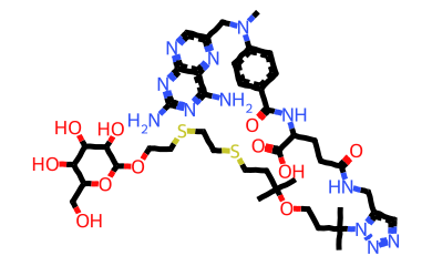 CN(Cc1cnc2nc(N)nc(N)c2n1)c1ccc(C(=O)NC(CCC(=O)NCc2cnnn2C(C)(C)CCOC(C)(C)CCSCCSCCOC2OC(CO)C(O)C(O)C2O)C(=O)O)cc1